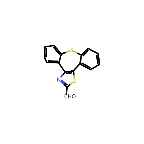 O=Cc1nc2c(s1)-c1ccccc1Sc1ccccc1-2